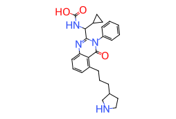 O=C(O)NC(c1nc2cccc(CCCC3CCNC3)c2c(=O)n1-c1ccccc1)C1CC1